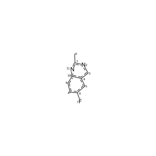 Cc1ncc2cc(F)ccc2n1